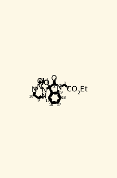 CCOC(=O)CN1C(=O)C(O)(N2N=CC=NN2O)c2ccccc21